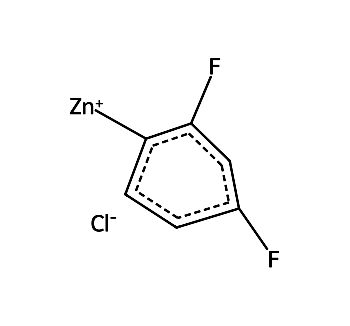 Fc1cc[c]([Zn+])c(F)c1.[Cl-]